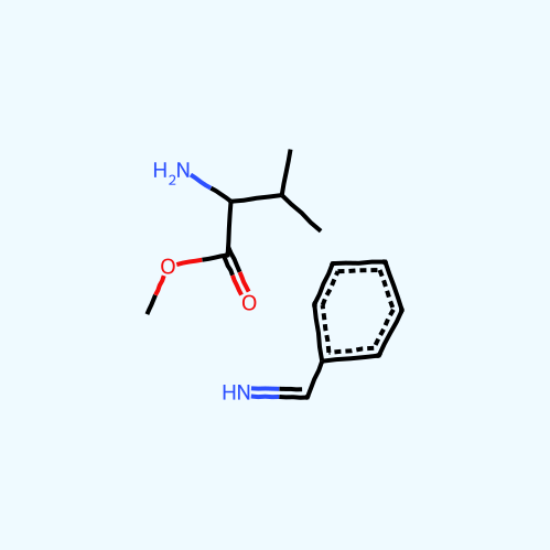 COC(=O)C(N)C(C)C.N=Cc1ccccc1